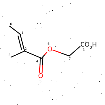 CC=C(C)C(=O)OCC(=O)O